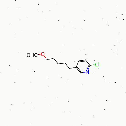 O=COCCCCCc1ccc(Cl)nc1